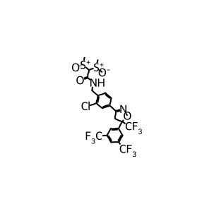 C[S+]([O-])C(C(=O)NCc1ccc(C2=NOC(c3cc(C(F)(F)F)cc(C(F)(F)F)c3)(C(F)(F)F)C2)cc1Cl)[S+](C)[O-]